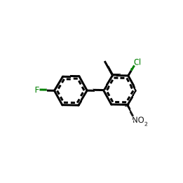 Cc1c(Cl)cc([N+](=O)[O-])cc1-c1ccc(F)cc1